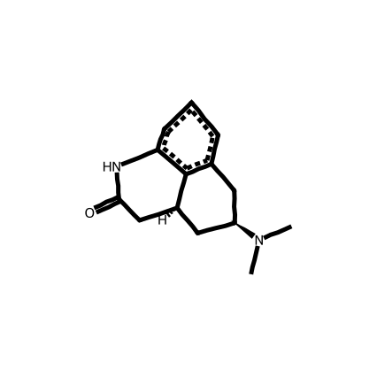 CN(C)[C@@H]1Cc2cccc3c2[C@H](CC(=O)N3)C1